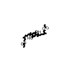 CCC(=O)OCCC(C)CCCC(C)(C)c1cc(O)c(C(C)(C)CCCC(C)CCOC(=O)CC)cc1O